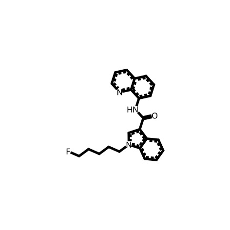 O=C(Nc1cccc2cccnc12)c1cn(CCCCCF)c2ccccc12